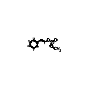 CO[PH](=O)OC=Cc1ccccc1